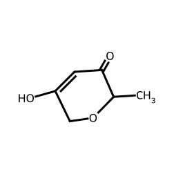 CC1OCC(O)=CC1=O